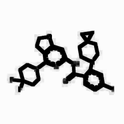 O=C(Nc1cc2c(c(N3CCC(F)(F)CC3)n1)CCO2)c1ccc(I)cc1N1CCC2(CC1)CC2